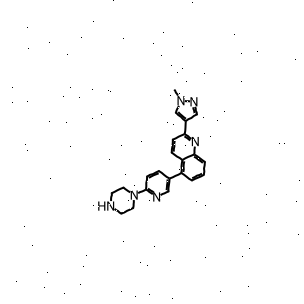 Cn1cc(-c2ccc3c(-c4ccc(N5CCNCC5)nc4)cccc3n2)cn1